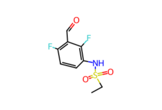 CCS(=O)(=O)Nc1ccc(F)c(C=O)c1F